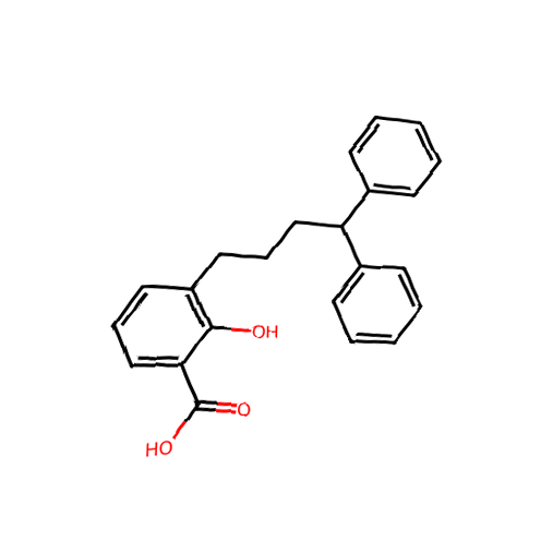 O=C(O)c1cccc(CCCC(c2ccccc2)c2ccccc2)c1O